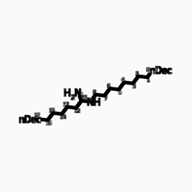 CCCCCCCCCCCCCCCCCCNC(N)CCCCCCCCCCCCCCC